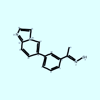 C/C(=N\S)c1cccc(-c2ccc3nccn3c2)c1